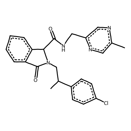 Cc1cnc(CNC(=O)C2c3ccccc3C(=O)N2CC(C)c2ccc(Cl)cc2)cn1